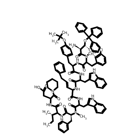 CC[C@H](C)C(NC(=O)[C@H](Cc1ccccc1)N(C)C(=O)C(Cc1c[nH]c2ccccc12)NC(=O)C(C=CCc1ccccc1)NC(=O)C(Cc1c[nH]c2ccccc12)NC(=O)C(Cc1ccc(OC(C)(C)C)cc1)NC(=O)C(Cc1cccc(Cl)c1)N(C)C(=O)[C@@H](N)[C@@H](C)OC(c1ccccc1)(c1ccccc1)c1ccccc1)C(=O)NC(CC(=O)O)C(=O)N1CCCCC1